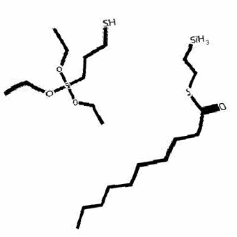 CCCCCCCCCC(=O)SCC[SiH3].CCO[Si](CCCS)(OCC)OCC